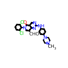 CN1CCN(c2ccc(Nc3ncc4c(=O)n(-c5c(Cl)cccc5Cl)cc(C=O)c4n3)cc2)CC1